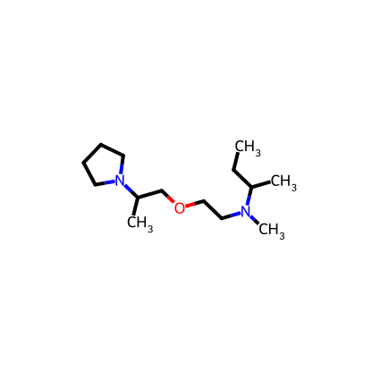 CCC(C)N(C)CCOCC(C)N1CCCC1